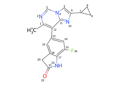 Cc1ncn2cc(C3CC3)nc2c1-c1cc(F)c2c(c1)CC(=O)N2